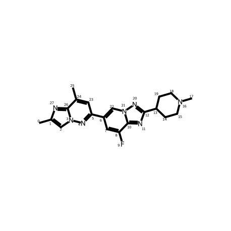 Cc1cn2nc(-c3cc(F)c4nc(C5CCN(C)CC5)nn4c3)cc(C)c2n1